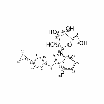 OC[C@H]1OC(n2cc(Cc3ccc(C4CC4)cc3)c3c(F)cccc32)C(O)[C@@H](O)[C@@H]1O